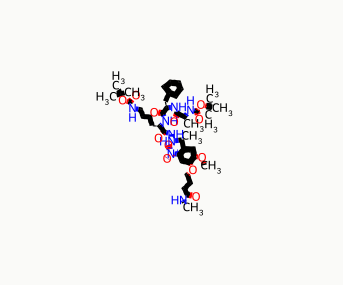 CNC(=O)CCCOc1cc([N+](=O)[O-])c(C(C)NNC(=O)[C@H](CCCCNC(=O)OC(C)(C)C)NC(=O)[C@H](Cc2ccccc2)NC(=O)[C@H](C)NC(=O)OC(C)(C)C)cc1OC